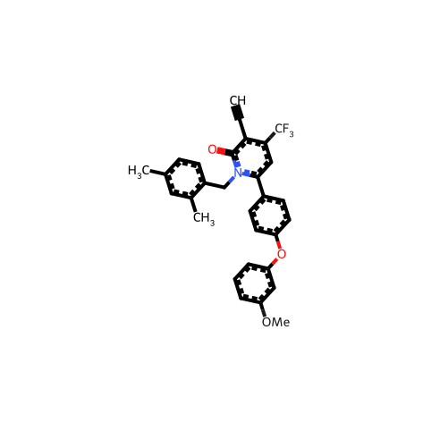 C#Cc1c(C(F)(F)F)cc(-c2ccc(Oc3cccc(OC)c3)cc2)n(Cc2ccc(C)cc2C)c1=O